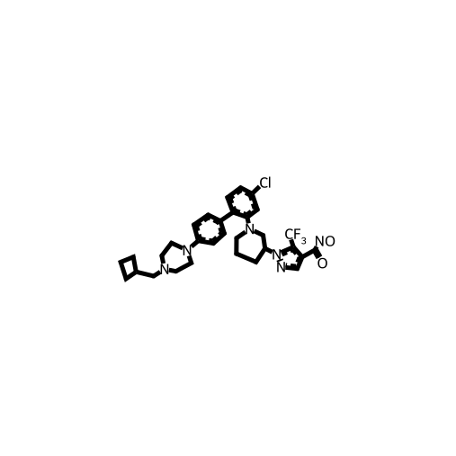 O=NC(=O)c1cnn(C2CCCN(c3cc(Cl)ccc3-c3ccc(N4CCN(CC5CCC5)CC4)cc3)C2)c1C(F)(F)F